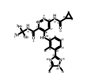 [2H]C([2H])([2H])NC(=O)c1nnc(NC(=O)C2CC2)cc1Nc1cccc(-c2nc(C)n(C)n2)c1C